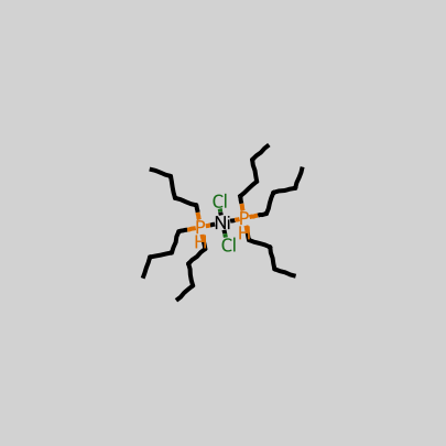 CCCC[PH](CCCC)(CCCC)[Ni]([Cl])([Cl])[PH](CCCC)(CCCC)CCCC